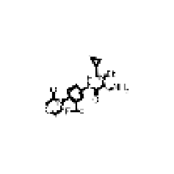 CCN(CC1CC1)[C@H](CN)C(=O)Nc1ccc(N2CCOCC2=O)c(C(F)F)c1